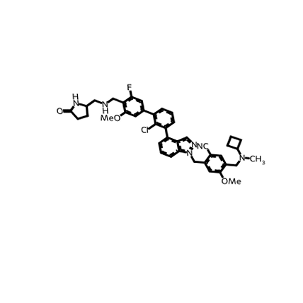 COc1cc(Cn2ncc3c(-c4cccc(-c5cc(F)c(CNCC6CCC(=O)N6)c(OC)c5)c4Cl)cccc32)c(C#N)cc1CN(C)C1CCC1